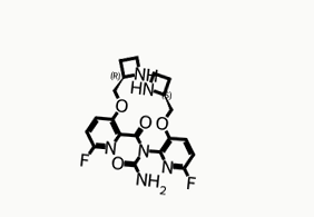 NC(=O)N(C(=O)c1nc(F)ccc1OC[C@H]1CCN1)c1nc(F)ccc1OC[C@@H]1CCN1